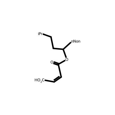 CCCCCCCCCC(CCC(C)C)OC(=O)/C=C\C(=O)O